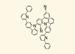 N#Cc1cccc(-c2ccc(-n3c4ccccc4c4ccc(-c5cccc(-c6ccccc6)n5)cc43)c(C#N)c2-n2c3ccccc3c3ccc(-c4cccc(-c5ccccc5)n4)cc32)c1